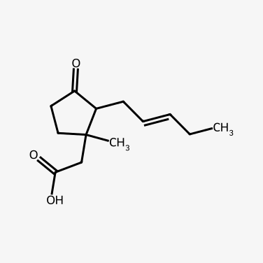 CCC=CCC1C(=O)CCC1(C)CC(=O)O